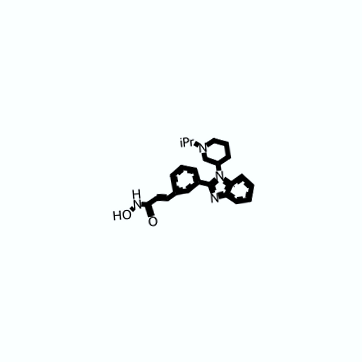 CC(C)N1CCCC(n2c(-c3cccc(/C=C/C(=O)NO)c3)nc3ccccc32)C1